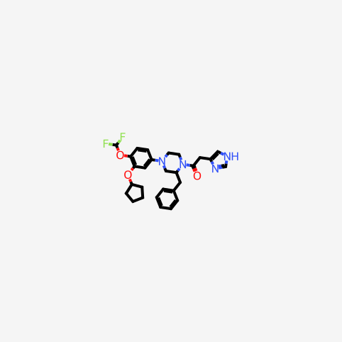 O=C(Cc1c[nH]cn1)N1CCN(c2ccc(OC(F)F)c(OC3CCCC3)c2)CC1Cc1ccccc1